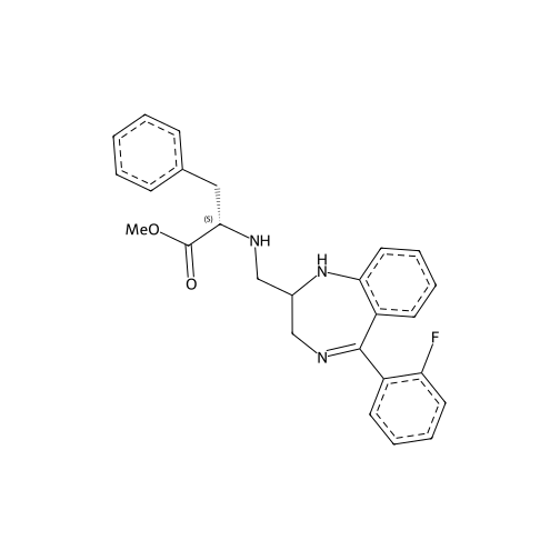 COC(=O)[C@H](Cc1ccccc1)NCC1CN=C(c2ccccc2F)c2ccccc2N1